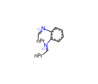 CCC/C=N\c1ccccc1/N=C/CCC